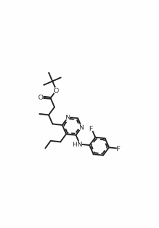 CCCc1c(CC(C)CC(=O)OC(C)(C)C)ncnc1Nc1ccc(F)cc1F